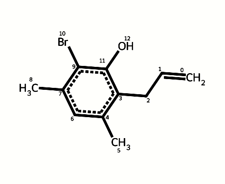 C=CCc1c(C)cc(C)c(Br)c1O